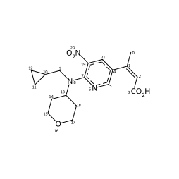 C/C(=C/C(=O)O)c1cnc(N(CC2CC2)C2CCOCC2)c([N+](=O)[O-])c1